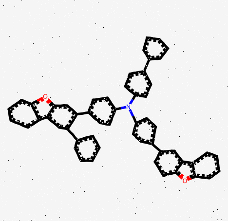 c1ccc(-c2ccc(N(c3ccc(-c4ccc5oc6ccccc6c5c4)cc3)c3ccc(-c4cc5oc6ccccc6c5cc4-c4ccccc4)cc3)cc2)cc1